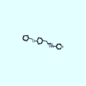 C(/Cc1ccc(OCc2ccccc2)cc1)=N\Nc1ccncc1